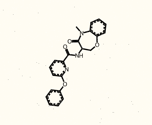 CN1C(=O)C(NC(=O)c2cccc(Oc3ccccc3)n2)COc2ccccc21